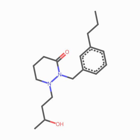 CCCc1cccc(CN2C(=O)CCCN2CCC(C)O)c1